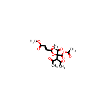 COC(=O)C=CC(=O)OC(C(C)=O)(C(=O)OC(C)=O)C(C(C)=O)C(C)=O